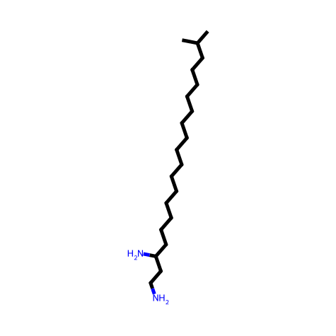 CC(C)CCCCCCCCCCCCCCCC(N)CCN